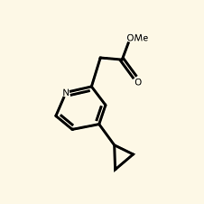 COC(=O)Cc1cc(C2CC2)ccn1